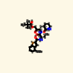 COc1cccc2sc(C(=O)N[C@@H](CC(C)(C)C)C(=O)N[C@@H](C[C@@H]3CCCNC3=O)C(=O)COC(=O)C(C)(C)C#N)cc12